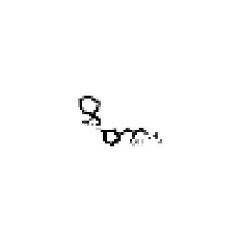 NC[C@@H](O)Cc1cccc(OCC2(O)CCCCCC2)c1